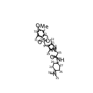 COc1cc(C)c(S(=O)(=O)Cc2c(C)nn(CC(=O)NC3CCC(N(C)C)CC3)c2C)c(C)c1